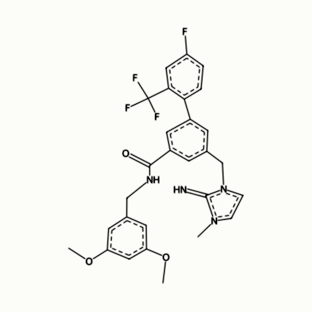 COc1cc(CNC(=O)c2cc(Cn3ccn(C)c3=N)cc(-c3ccc(F)cc3C(F)(F)F)c2)cc(OC)c1